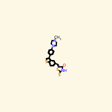 CN1CCN(c2ccc(-c3csc4ccc(/C=C5\SC(=S)NC5=O)cc34)cc2)CC1